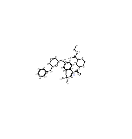 CCOC(=O)C1CCCN(C(=O)/C(=C/C(F)(F)F)c2ccc(SC3COCC(Cc4ccccc4)O3)cc2)C1